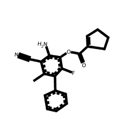 Cc1c(C#N)c(N)c(OC(=O)C2=CCCC2)c(F)c1-c1ccccc1